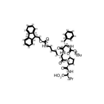 CC(C)[C@H](NC(=O)[C@@H]1CCCN1C(=O)[C@H](CCCCNC(=O)OCC1c2ccccc2-c2ccccc21)NC(=O)[C@H](Cc1ccccc1)NC(=O)OC(C)(C)C)C(=O)O